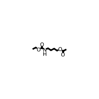 CCOC(=O)NCCCCOC(C)=O